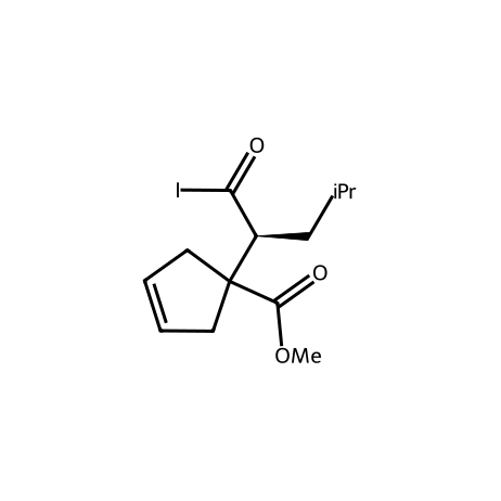 COC(=O)C1([C@H](CC(C)C)C(=O)I)CC=CC1